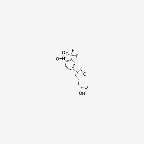 O=NN(CCCC(=O)O)c1ccc([N+](=O)[O-])c(C(F)(F)F)c1